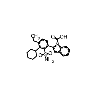 CCc1ccc(-c2cc3ccccc3n2C(=O)O)c(S(N)(=O)=O)c1C1CCCCC1